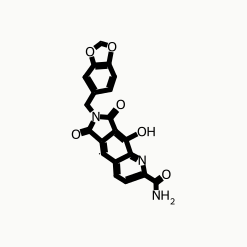 NC(=O)c1ccc2[c]c3c(c(O)c2n1)C(=O)N(Cc1ccc2c(c1)OCO2)C3=O